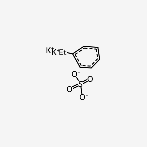 CCc1ccccc1.O=S(=O)([O-])[O-].[K+].[K+]